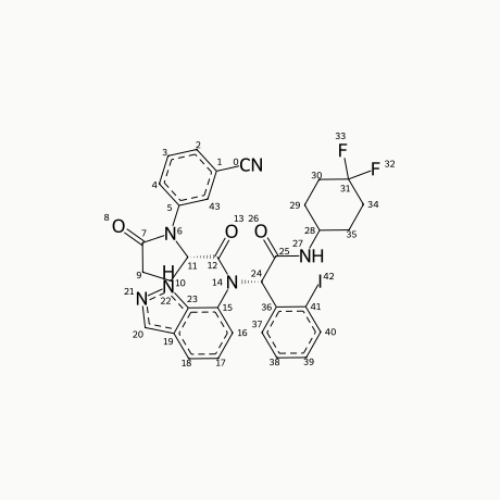 N#Cc1cccc(N2C(=O)CC[C@H]2C(=O)N(c2cccc3cn[nH]c23)[C@H](C(=O)NC2CCC(F)(F)CC2)c2ccccc2I)c1